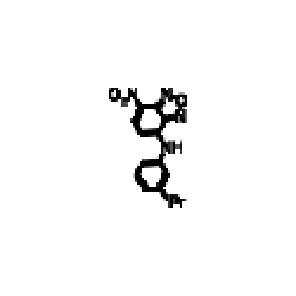 CC(C)c1cccc(Nc2ccc([N+](=O)[O-])c3nonc23)c1